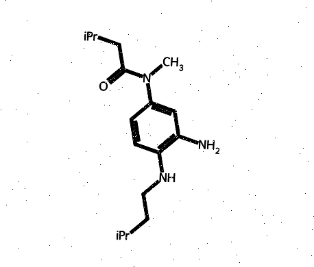 CC(C)CCNc1ccc(N(C)C(=O)CC(C)C)cc1N